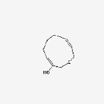 OC1=CCCCC=CCCC1